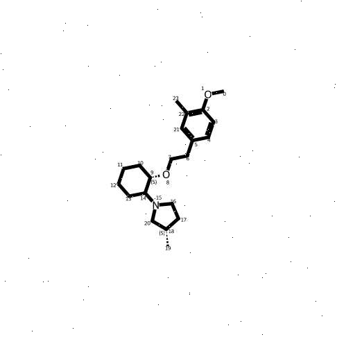 COc1ccc(CCO[C@H]2CCCCC2N2CC[C@H](C)C2)cc1C